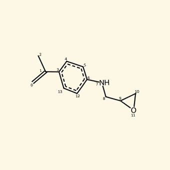 C=C(C)c1ccc(NCC2CO2)cc1